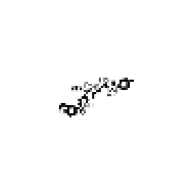 CCCN(CC(C)C)C(=O)[C@H](CCCNC(=N)NS(=O)(=O)c1ccc(C)cc1)NS(=O)(=O)c1ccc2occc2c1